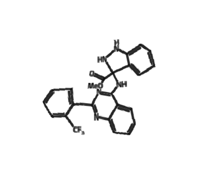 COC(=O)C1(Nc2nc(-c3ccccc3C(F)(F)F)nc3ccccc23)NNc2ccccc21